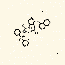 CCC(=O)Oc1c(NC(=O)Nc2ccccc2S(=O)(=O)c2ccccc2)cccc1Oc1nccc2cnccc12